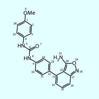 COc1ccc(NC(=O)Nc2ccc(-c3cccc4noc(N)c34)cc2)cc1